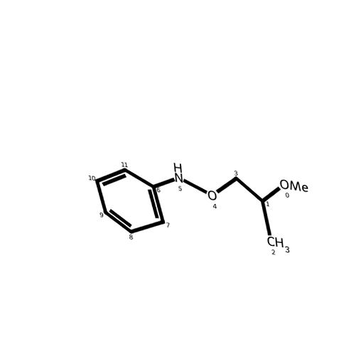 COC(C)CONc1ccccc1